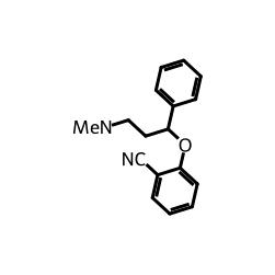 CNCCC(Oc1ccccc1C#N)c1ccccc1